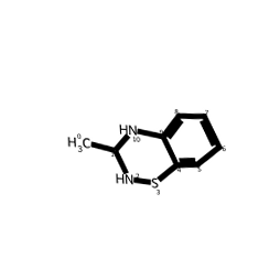 CC1NSc2ccccc2N1